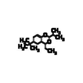 CCC1OC(C(C)C)OC2=CCC(C(C)(C)C)CC21